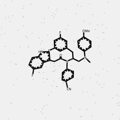 COc1ccc(N(C)CC(Cc2cc(F)cc(F)c2)N(C(=O)Cc2c[nH]c3ccc(F)cc23)c2ccc(C#N)cc2)cc1